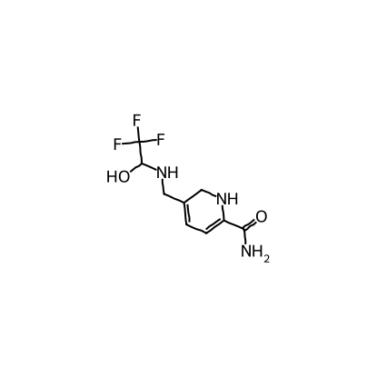 NC(=O)C1=CC=C(CNC(O)C(F)(F)F)CN1